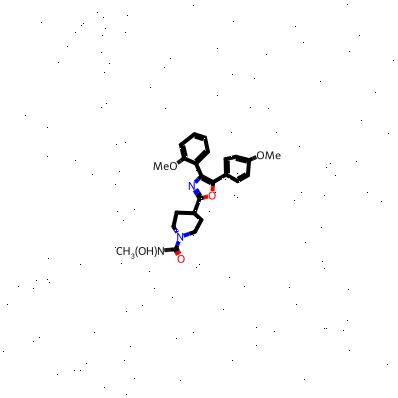 COc1ccc(-c2oc(C3CCN(C(=O)N(C)O)CC3)nc2-c2ccccc2OC)cc1